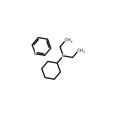 CCN(CC)C1CCCCC1.c1ccncc1